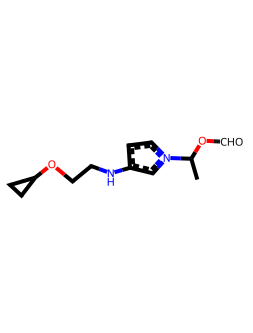 CC(OC=O)n1ccc(NCCOC2CC2)c1